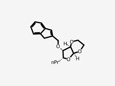 CCC[C@H]1O[C@@H]2OCCO[C@@H]2[C@H]1OCC1=Cc2ccccc2C1